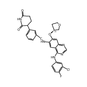 O=C1CCC(c2cccc(CNc3cc4c(Nc5ccc(F)c(Cl)c5)ncnc4cc3O[C@H]3CCOC3)c2)C(=O)N1